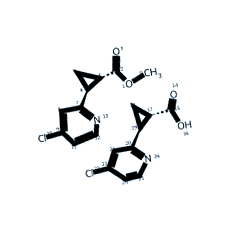 COC(=O)[C@H]1C[C@@H]1c1cc(Cl)ccn1.O=C(O)[C@H]1C[C@@H]1c1cc(Cl)ccn1